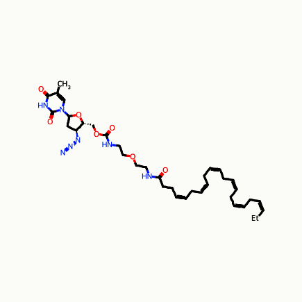 CC/C=C\C/C=C\C/C=C\C/C=C\C/C=C\C/C=C\CCC(=O)NCCOCCNC(=O)OC[C@H]1OC(n2cc(C)c(=O)[nH]c2=O)C[C@@H]1N=[N+]=[N-]